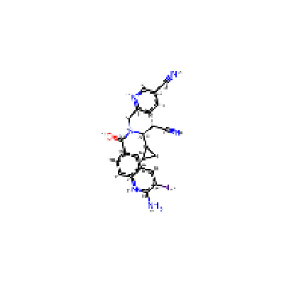 N#CC[C@@H](C1CC1)N(Cc1ccc(C#N)cn1)C(=O)c1ccc2nc(N)c(I)cc2c1